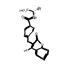 CC(C)[C@H](NC(=O)c1ccc(Cc2c(O)c3ccccc3oc2=O)cc1)C(=O)O